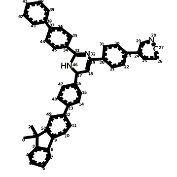 CC1(C)c2ccccc2-c2ccc(-c3ccc(C4C=C(c5ccc(-c6cccnc6)cc5)N=C(c5ccc(-c6ccccc6)cc5)N4)cc3)cc21